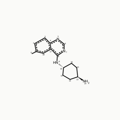 Cc1ccc2ncnc(N[C@H]3CC[C@H](N)CC3)c2c1